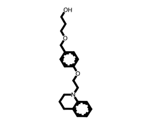 OCCCOCc1ccc(OCCN2CCCc3ccccc32)cc1